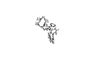 O=C(Nc1cccc2s[c]nc12)c1ccccc1